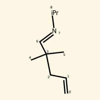 C=CCC(C)(C)/C=N/C(C)C